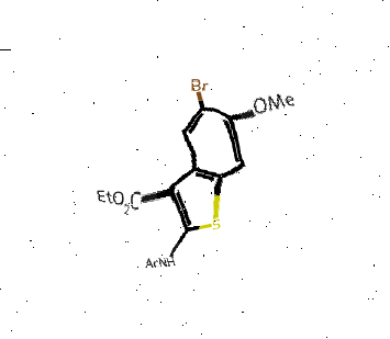 CCOC(=O)c1c(NC(C)=O)sc2cc(OC)c(Br)cc12